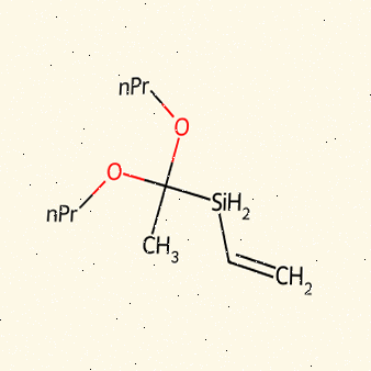 C=C[SiH2]C(C)(OCCC)OCCC